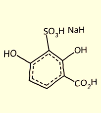 O=C(O)c1ccc(O)c(S(=O)(=O)O)c1O.[NaH]